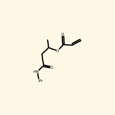 C=CC(=O)OC(C)CC(=O)NC(C)C